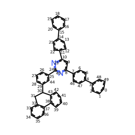 c1ccc(-c2ccc(-c3cc(-c4ccc(-c5ccccc5)cc4)nc(-c4cccc(C5Cc6ccccc6-c6ccccc65)c4)n3)cc2)cc1